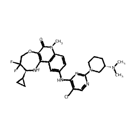 CN(C)[C@H]1CCCN(c2ncc(Cl)c(Nc3ccc4c(c3)c3c(c(=O)n4C)OCC(F)(F)[C@H](C4CC4)N3)n2)C1